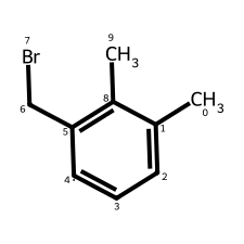 Cc1cc[c]c(CBr)c1C